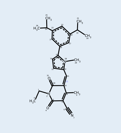 CCN1C(=O)C(C#N)=C(C)/C(=C/c2ccc(-c3cc(C(C)C)cc(C(C)C)c3)n2C)C1=O